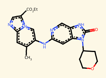 CCOC(=O)c1cnc2cc(C)c(Nc3cc4c(cn3)[nH]c(=O)n4C3CCOCC3)cn12